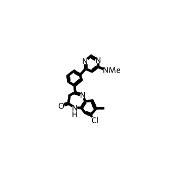 CNc1cc(-c2cccc(C3=Nc4cc(C)c(Cl)cc4NC(=O)C3)c2)ncn1